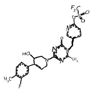 Cc1ccc(C2=CCN(c3nc(C)n(Cc4ccc(OS(=O)(=O)C(F)(F)F)nc4)c(=O)n3)CC2O)cc1F